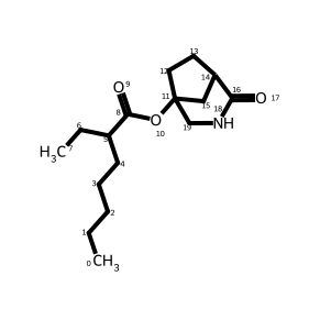 CCCCCC(CC)C(=O)OC12CCC(C1)C(=O)NC2